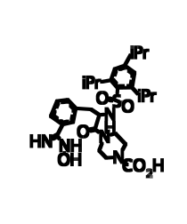 CC(C)c1cc(C(C)C)c(S(=O)(=O)NC(Cc2cccc(C(=N)NO)c2)C(=O)N2CCN(C(=O)O)CC2)c(C(C)C)c1